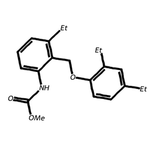 CCc1ccc(OCc2c(CC)cccc2NC(=O)OC)c(CC)c1